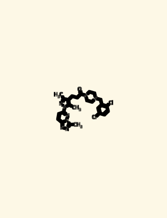 Cc1nn(-c2ccc3nnc(C)n3n2)c(C)c1CCC(=O)N1CCN(Cc2cc(Cl)ccc2Cl)CC1